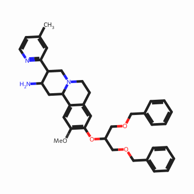 COc1cc2c(cc1OC(COCc1ccccc1)COCc1ccccc1)CCN1CC(c3cc(C)ccn3)C(N)CC21